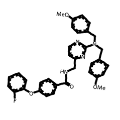 COc1ccc(CN(Cc2ccc(OC)cc2)c2nccc(CNC(=O)c3ccc(Oc4ccccc4F)cc3)n2)cc1